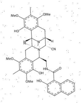 COc1c(C)c(OC)c2c(c1O)[C@H]1[C@@H]3Cc4c(OC)c(C)c(OC)c(O)c4[C@H](CNC(=O)c4c(O)ccc5ccccc45)N3[C@@H](C#N)[C@@H](C2)N1C